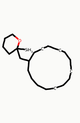 [SiH3]C1(CC2CCCCCCCCCCCCCC2)CCCCO1